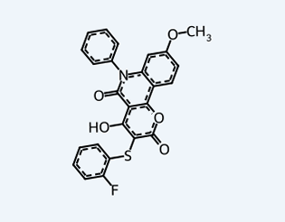 COc1ccc2c3oc(=O)c(Sc4ccccc4F)c(O)c3c(=O)n(-c3ccccc3)c2c1